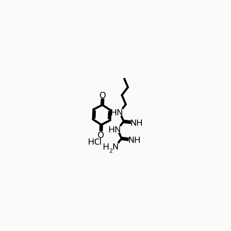 CCCCNC(=N)NC(=N)N.Cl.O=C1C=CC(=O)C=C1